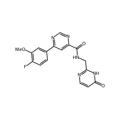 COc1cc(-c2cc(C(=O)NCc3nccc(=O)[nH]3)ncn2)ccc1F